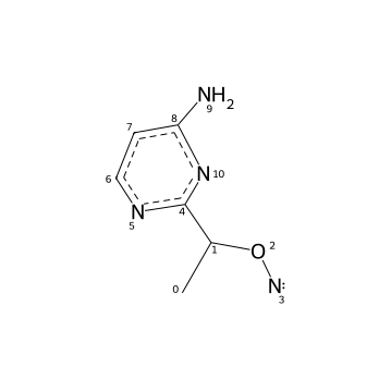 CC(O[N])c1nccc(N)n1